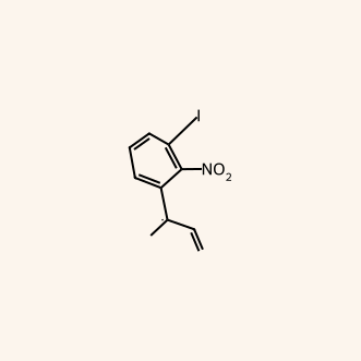 C=C[C](C)c1cccc(I)c1[N+](=O)[O-]